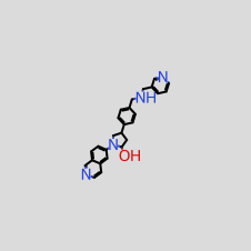 OC1CC(c2ccc(CNCc3cccnc3)cc2)CN1c1ccc2cnccc2c1